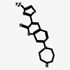 O=c1oc2cc(N3CCCNCC3)ccc2cc1-c1nc(C(F)(F)F)cs1